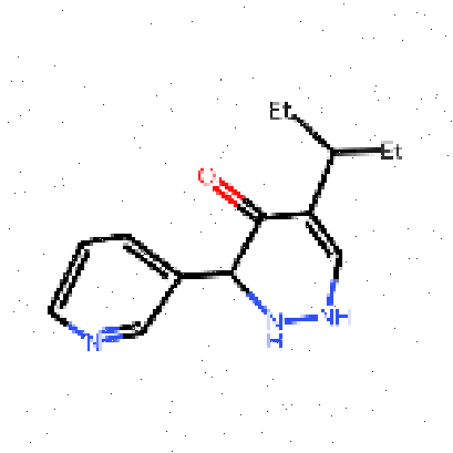 CCC(CC)C1=CNNC(c2cccnc2)C1=O